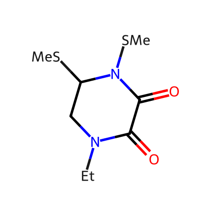 CCN1CC(SC)N(SC)C(=O)C1=O